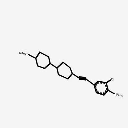 CCCCCCCC1CCC(C2CCC(C#Cc3ccc(CCCCC)c(Cl)c3)CC2)CC1